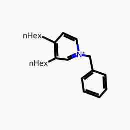 CCCCCCc1cc[n+](Cc2ccccc2)cc1CCCCCC